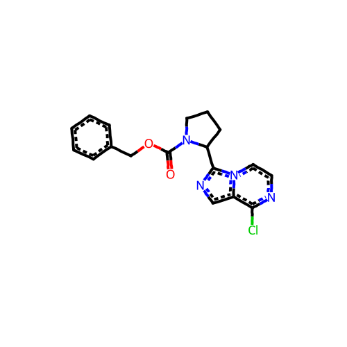 O=C(OCc1ccccc1)N1CCCC1c1ncc2c(Cl)nccn12